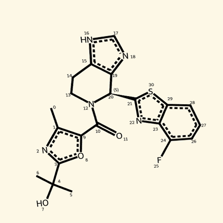 Cc1nc(C(C)(C)O)oc1C(=O)N1CCc2[nH]cnc2[C@H]1c1nc2c(F)cccc2s1